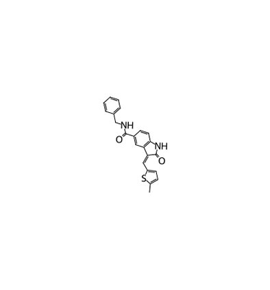 Cc1ccc(C=C2C(=O)Nc3ccc(C(=O)NCc4ccccc4)cc32)s1